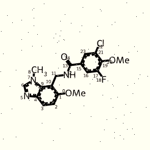 COc1ccc2ncn(C)c2c1CNC(=O)c1cc(F)c(OC)c(Cl)c1